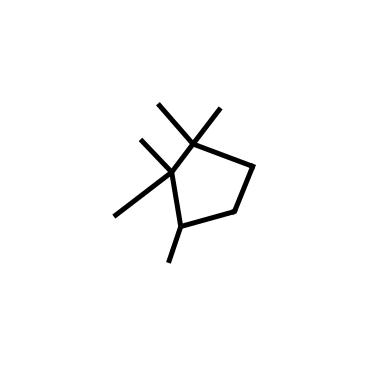 CC1CCC(C)(C)C1(C)C